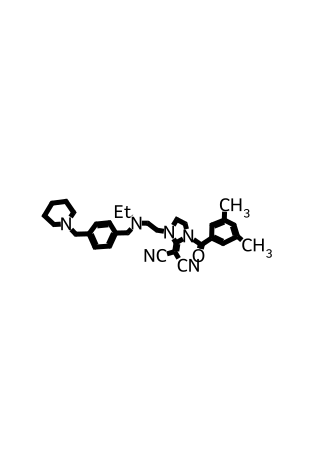 CCN(CCN1CCN(C(=O)c2cc(C)cc(C)c2)C1=C(C#N)C#N)Cc1ccc(CN2CCCCC2)cc1